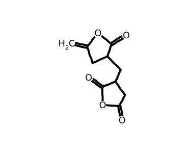 C=C1CC(CC2CC(=O)OC2=O)C(=O)O1